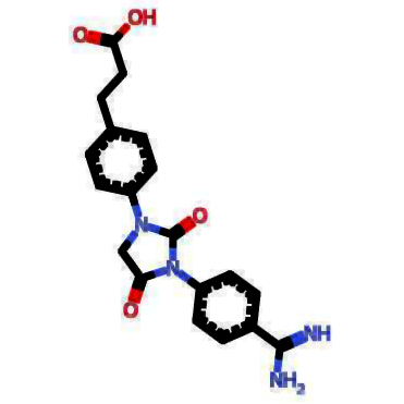 N=C(N)c1ccc(N2C(=O)CN(c3ccc(CCC(=O)O)cc3)C2=O)cc1